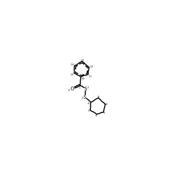 O=C(SSC1CCCCC1)c1ccccc1